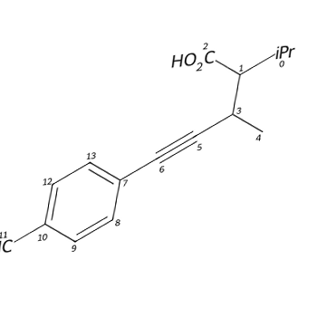 CC(C)C(C(=O)O)C(C)C#Cc1ccc(C#N)cc1